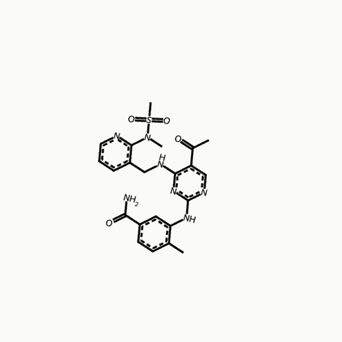 CC(=O)c1cnc(Nc2cc(C(N)=O)ccc2C)nc1NCc1cccnc1N(C)S(C)(=O)=O